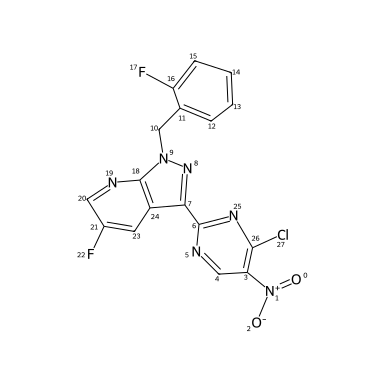 O=[N+]([O-])c1cnc(-c2nn(Cc3ccccc3F)c3ncc(F)cc23)nc1Cl